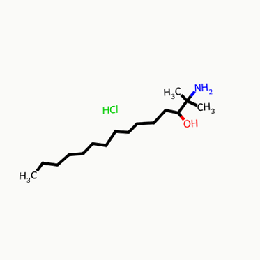 CCCCCCCCCCCCC(O)C(C)(C)N.Cl